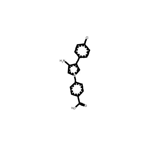 Nc1cn(-c2ccc(C(=O)O)cc2)cc1-c1ccc(Cl)cc1